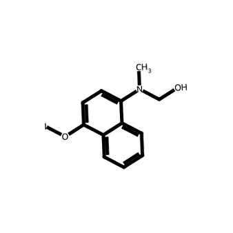 CN(CO)c1ccc(OI)c2ccccc12